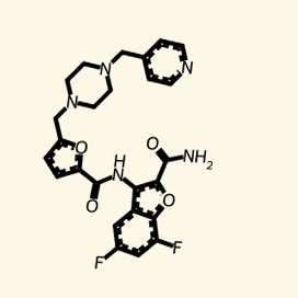 NC(=O)c1oc2c(F)cc(F)cc2c1NC(=O)c1ccc(CN2CCN(Cc3ccncc3)CC2)o1